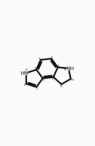 c1cc2c3c(ccc2[nH]1)NCC3